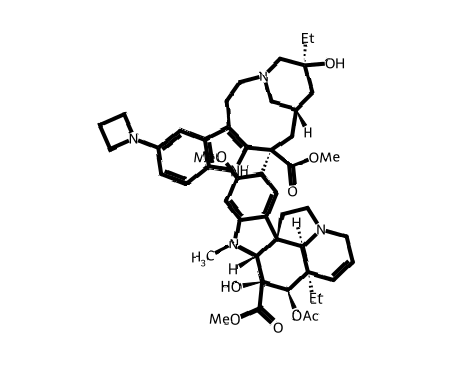 CC[C@]1(O)C[C@H]2CN(CCc3c([nH]c4ccc(N5CCC5)cc34)[C@@](C(=O)OC)(C3C=C4C(=CC3OC)N(C)[C@H]3[C@@](O)(C(=O)OC)[C@H](OC(C)=O)[C@]5(CC)C=CCN6CC[C@]43[C@@H]65)C2)C1